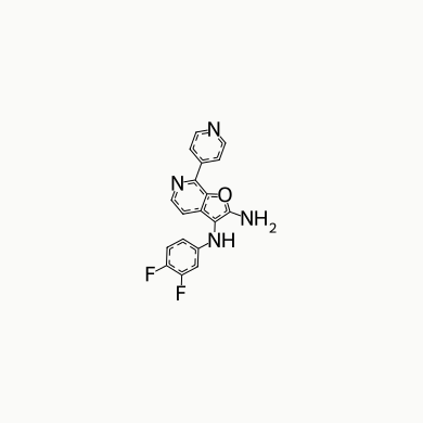 Nc1oc2c(-c3ccncc3)nccc2c1Nc1ccc(F)c(F)c1